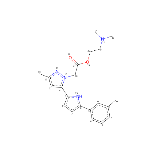 Cc1cccc(-c2ccc(-c3cc(C)nn3CC(=O)OCCN(C)C)[nH]2)c1